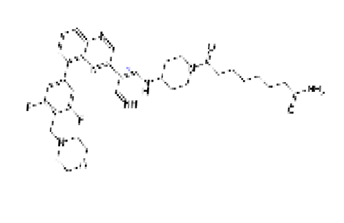 N=C/C(=C\NC1CCN(C(=O)CCCCCCC(N)=O)CC1)c1cnc2cccc(-c3cc(F)c(CN4CCOCC4)c(F)c3)c2n1